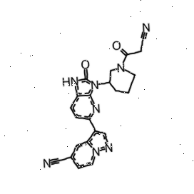 N#CCC(=O)N1CCCC(n2c(=O)[nH]c3ccc(-c4cnn5ccc(C#N)cc45)nc32)C1